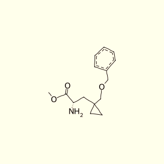 COC(=O)[C@@H](N)CC1(COCc2ccccc2)CC1